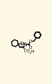 CC1(/C=C(\NC(=O)OCc2ccccc2)C(=O)O)CCCCC1